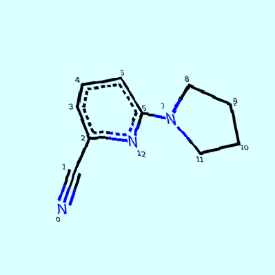 N#Cc1cccc(N2C[CH]CC2)n1